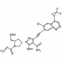 C=CC(=O)N1C[C@@H](n2nc(C#Cc3cc4nncc(C5CC5(F)F)c4cc3Cl)c(C(N)=O)c2NC)C[C@@H]1COC